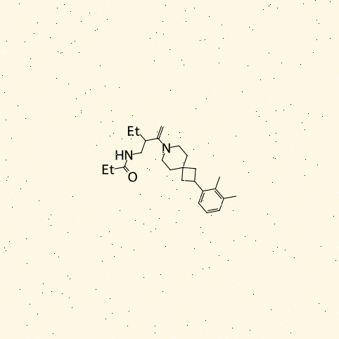 C=C(C(CC)CNC(=O)CC)N1CCC2(CC1)CC(c1cccc(C)c1C)C2